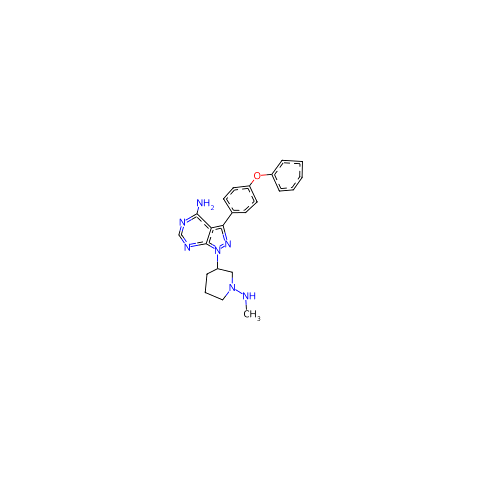 CNN1CCCC(n2nc(-c3ccc(Oc4ccccc4)cc3)c3c(N)ncnc32)C1